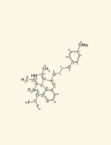 COc1ccc(OCCOC(=O)C2=C(C)NC(C)=C([N+](=O)[O-])C2c2ccccc2OC(F)F)cc1